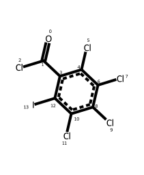 O=C(Cl)c1c(Cl)c(Cl)c(Cl)c(Cl)c1I